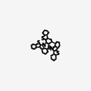 c1ccc2c(c1)sc1c3c4c(cc12)-c1cccc2c5sc6ccccc6c5n(c12)B4c1cccc2c4c5ccccc5sc4n-3c12